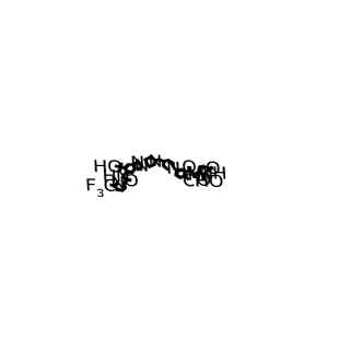 CN(C(=O)c1cc(N2CCC(CN3CCC(n4cc5cc(NC(=O)c6cccc(C(F)(F)F)n6)c(C(C)(C)O)cc5n4)CC3)CC2)ccc1C=O)C1CCC(=O)NC1=O